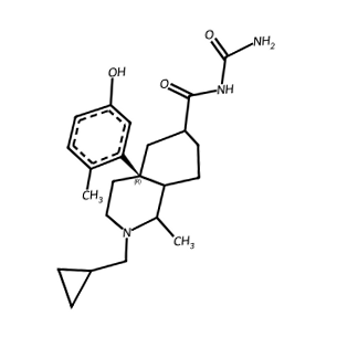 Cc1ccc(O)cc1[C@]12CCN(CC3CC3)C(C)C1CCC(C(=O)NC(N)=O)C2